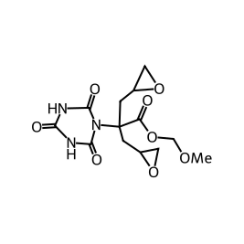 COCOC(=O)C(CC1CO1)(CC1CO1)n1c(=O)[nH]c(=O)[nH]c1=O